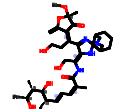 C=C1O[C@](C)(OCC)C(=O)/C1=C(/CCO)C1=NC2(N/C1=C(/CO)NC(=O)/C(C)=C\C=C\[C@H](C)[C@H](O)[C@@H](C)[C@@H](O)C(C)C)C1CCCC2CNC1